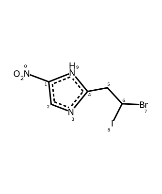 O=[N+]([O-])c1cnc(CC(Br)I)[nH]1